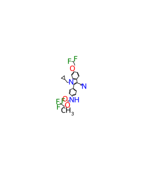 C[C@@H](OC(=O)Nc1ccc(-c2c(C#N)c3ccc(OCC(F)F)cc3n2CC2CC2)cc1)C(F)(F)F